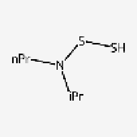 CCCN(SS)C(C)C